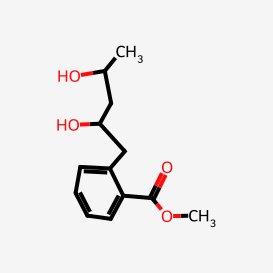 COC(=O)c1ccccc1CC(O)CC(C)O